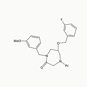 COc1cccc(CN2CC(OCc3cccc(F)c3)CN(C(C)=O)CC2=O)c1